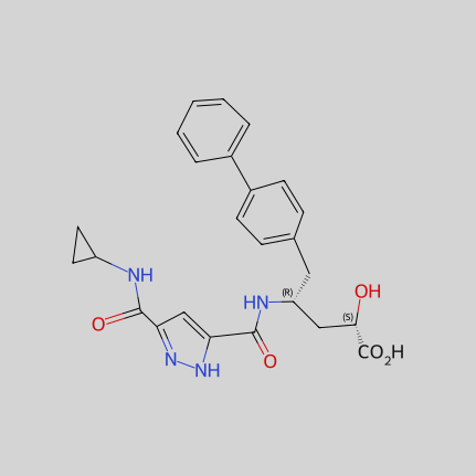 O=C(NC1CC1)c1cc(C(=O)N[C@H](Cc2ccc(-c3ccccc3)cc2)C[C@H](O)C(=O)O)[nH]n1